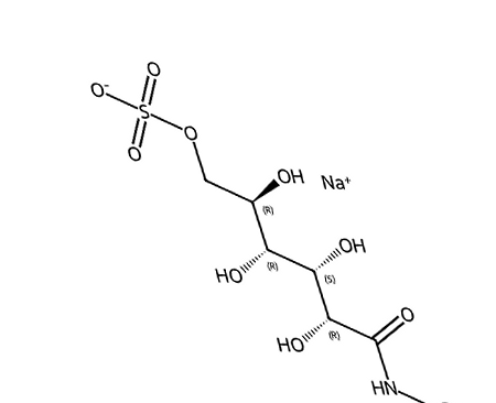 CCCCCCCCCCNC(=O)[C@H](O)[C@@H](O)[C@H](O)[C@H](O)COS(=O)(=O)[O-].[Na+]